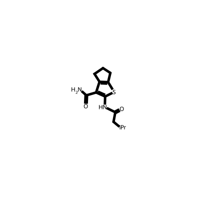 CC(C)CC(=O)Nc1sc2c(c1C(N)=O)CCC2